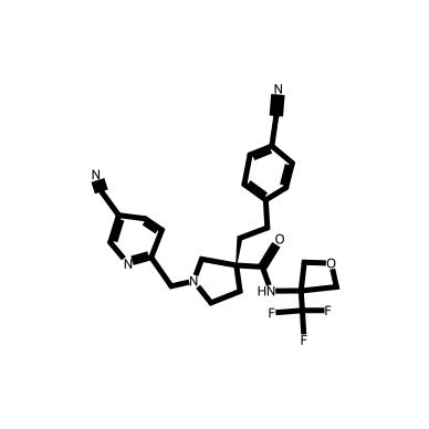 N#Cc1ccc(CC[C@@]2(C(=O)NC3(C(F)(F)F)COC3)CCN(Cc3ccc(C#N)cn3)C2)cc1